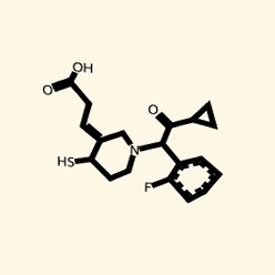 O=C(O)CC=C1CN(C(C(=O)C2CC2)c2ccccc2F)CCC1S